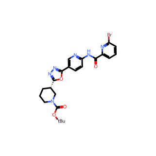 CC(C)(C)OC(=O)N1CCC[C@H](c2nnc(-c3ccc(NC(=O)c4cccc(Br)n4)nc3)o2)C1